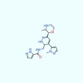 CC1NCCO[C@H]1C1=NNC(CNC(=O)c2ccn[nH]2)C(c2ccnn2C)=C1